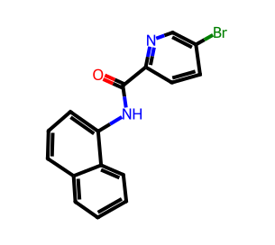 O=C(Nc1cccc2ccccc12)c1ccc(Br)cn1